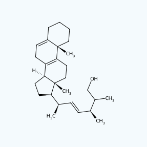 CC(CO)[C@@H](C)C=C[C@@H](C)[C@H]1CC[C@H]2C3=C(CC[C@]12C)[C@@]1(C)CCCCC1=CC3